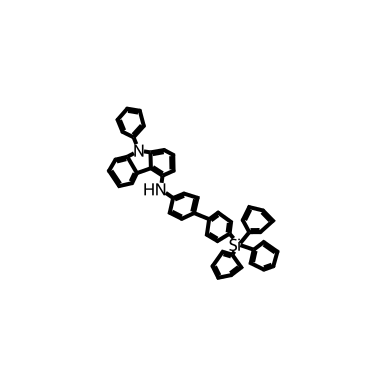 c1ccc(-n2c3ccccc3c3c(Nc4ccc(-c5ccc([Si](c6ccccc6)(c6ccccc6)c6ccccc6)cc5)cc4)cccc32)cc1